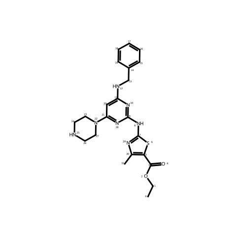 CCOC(=O)c1sc(Nc2nc(NCc3ccccc3)cc(N3CCNCC3)n2)nc1C